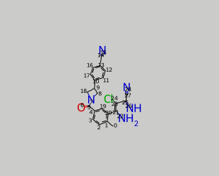 Cc1ccc(C(=O)N2CC(c3ccc(C#N)cc3)C2)cc1/C(N)=C(\Cl)C(=N)C#N